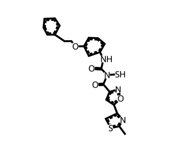 Cc1nc(-c2cc(C(=O)N(S)C(=O)Nc3cccc(OCCc4ccccc4)c3)no2)cs1